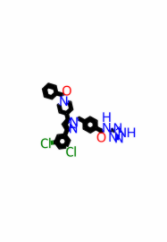 O=C(Nc1nn[nH]n1)c1ccc(Cn2nc(-c3cc(Cl)cc(Cl)c3)cc2C2CCN(C(=O)C3C=CC=CC3)CC2)cc1